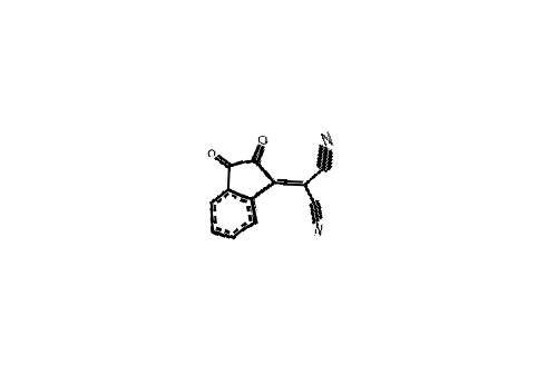 N#CC(C#N)=C1C(=O)C(=O)c2ccccc21